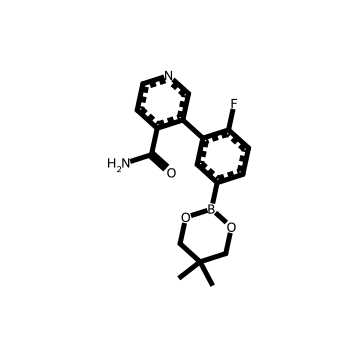 CC1(C)COB(c2ccc(F)c(-c3cnccc3C(N)=O)c2)OC1